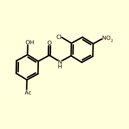 CC(=O)c1ccc(O)c(C(=O)Nc2ccc([N+](=O)[O-])cc2Cl)c1